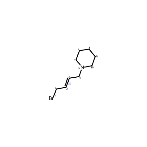 BrC/C=C/CN1CCCCC1